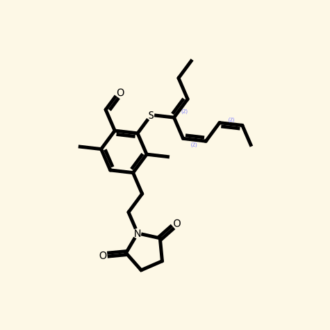 C\C=C/C=C\C(=C\CC)Sc1c(C)c(CCN2C(=O)CCC2=O)cc(C)c1C=O